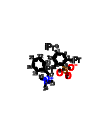 CC(C)c1cc(C(C)C)c(S(=O)(=O)[O-])c(C(C)C)c1.C[N+](C)(C)Cc1ccccc1